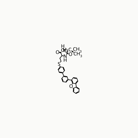 CC(C)(C)OC(=O)NC(CCSc1ccc(-c2cccc(-c3cccc4c3oc3ccccc34)c2)cc1)C(=O)O